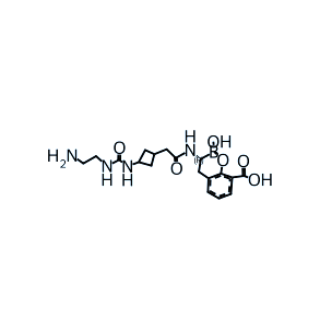 NCCNC(=O)NC1CC(CC(=O)N[C@H]2Cc3cccc(C(=O)O)c3OB2O)C1